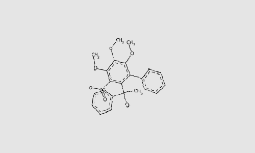 COc1c(OC)c(-c2ccccc2)c(C(C)([O])c2ccccc2)c([N+](=O)[O-])c1OC